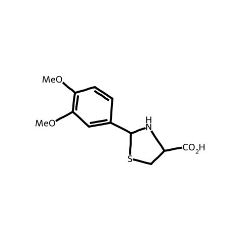 COc1ccc(C2NC(C(=O)O)CS2)cc1OC